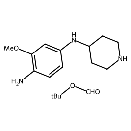 CC(C)(C)OC=O.COc1cc(NC2CCNCC2)ccc1N